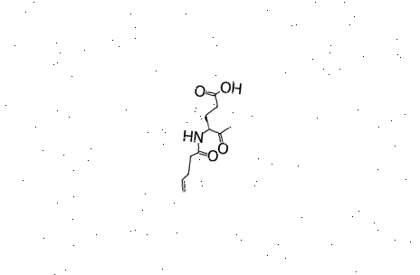 C=CCCC(=O)N[C@@H](CCC(=O)O)C(C)=O